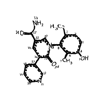 Cc1ccc(O)c(C)c1-n1cc(C(N)=O)cc(-c2cccnc2)c1=O